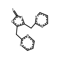 S=c1sc(Cc2ncccn2)c(Cc2ncccn2)s1